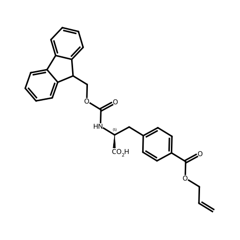 C=CCOC(=O)c1ccc(C[C@H](NC(=O)OCC2c3ccccc3-c3ccccc32)C(=O)O)cc1